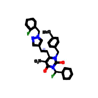 COc1ccc(Cn2c(/C=C/c3cnn(Cc4ccccc4F)c3)c([N+](=O)[O-])c(=O)n(C(F)c3ccccc3)c2=O)cc1